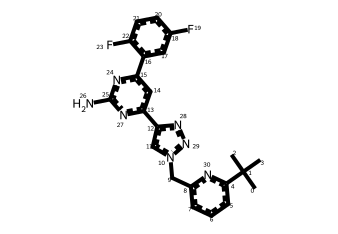 CC(C)(C)c1cccc(Cn2cc(-c3cc(-c4cc(F)ccc4F)nc(N)n3)nn2)n1